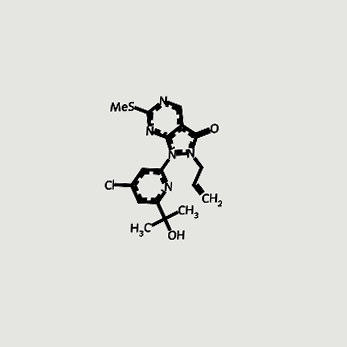 C=CCn1c(=O)c2cnc(SC)nc2n1-c1cc(Cl)cc(C(C)(C)O)n1